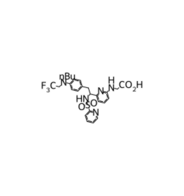 CCCCN(CC(F)(F)F)c1ccc(CC(NS(=O)(=O)c2ccccn2)c2cccc(NCC(=O)O)n2)cc1